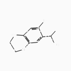 CC(F)c1cc2c(cc1Br)BCCN2